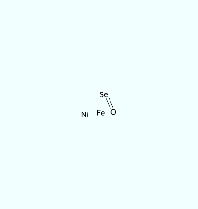 O=[Se].[Fe].[Ni]